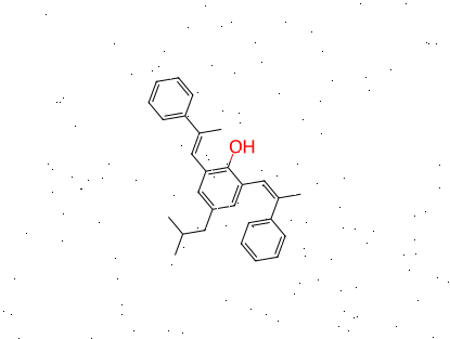 CC(=Cc1cc(CC(C)C)cc(C=C(C)c2ccccc2)c1O)c1ccccc1